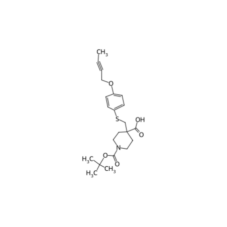 CC#CCOc1ccc(SCC2(C(=O)O)CCN(C(=O)OC(C)(C)C)CC2)cc1